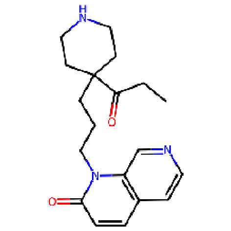 CCC(=O)C1(CCCn2c(=O)ccc3ccncc32)CCNCC1